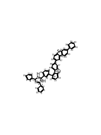 c1ccc(C2=NC(c3ccccc3)NC(c3cccc(-c4cccc5oc6cc(-c7ccc8sc9cc(-c%10ccccc%10)ccc9c8c7)ccc6c45)c3)N2)cc1